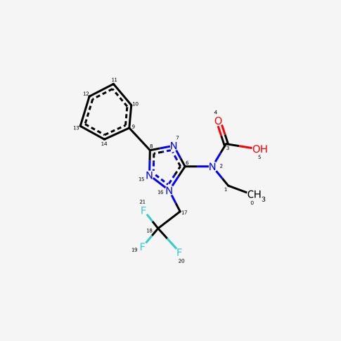 CCN(C(=O)O)c1nc(-c2ccccc2)nn1CC(F)(F)F